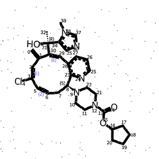 C=C1/C=C(Cl)\C=C/C[C@H](N2CCN(C(=O)OC3CCCC3)CC2)c2ncccc2/C=C\1[C@@](C)(O)c1cncn1C